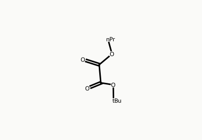 CCCOC(=O)C(=O)OC(C)(C)C